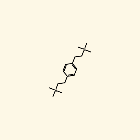 C[Si](C)(C)CCc1ccc(CC[Si](C)(C)C)cc1